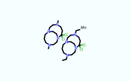 CCN1CCCN2CCN(CC)CCC(Cl)(Cl)N(CC1)CC2.CN1CCCN2CCN(C)CCC(Cl)(Cl)N(CC1)CC2.[Mn]